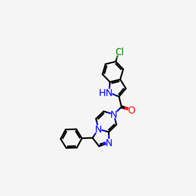 O=C(c1cc2cc(Cl)ccc2[nH]1)N1C=CN2C(=C1)N=CC2c1ccccc1